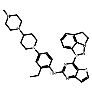 CCc1cc(N2CCC(N3CCN(C)CC3)CC2)ccc1Nc1nc(N2SN3CCc4cccc2c43)c2sccc2n1